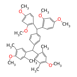 COc1ccc(C(c2ccc(C(c3cc(C)c(OC)cc3C)c3cc(C)c(OC)cc3C)cc2)c2ccc(OC)cc2OC)c(OC)c1